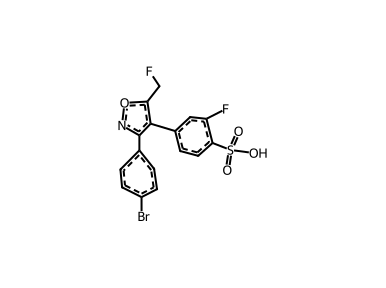 O=S(=O)(O)c1ccc(-c2c(-c3ccc(Br)cc3)noc2CF)cc1F